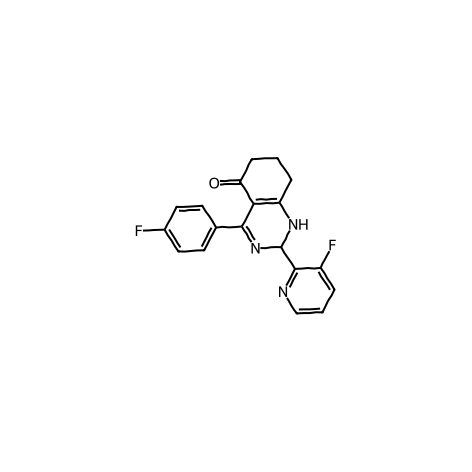 O=C1CCCC2=C1C(c1ccc(F)cc1)=NC(c1ncccc1F)N2